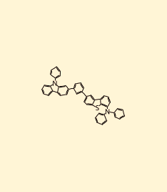 c1ccc(N(c2ccccc2)c2cccc3c2sc2ccc(-c4cccc(-c5ccc6c7ccccc7n(-c7ccccc7)c6c5)c4)cc23)cc1